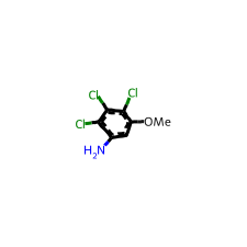 COc1cc(N)c(Cl)c(Cl)c1Cl